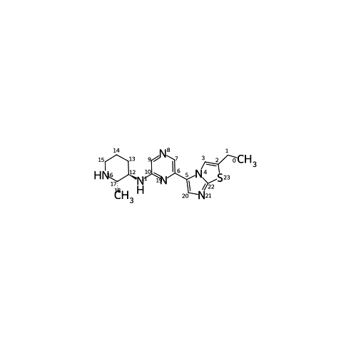 CCc1cn2c(-c3cncc(N[C@@H]4CCCN[C@H]4C)n3)cnc2s1